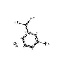 Fc1ccc[n+](C(F)F)c1.[Br-]